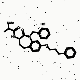 CNC(C)C(=O)NC1CCc2ccc(OCCCc3ccccc3)cc2N(Cc2ccccc2)C1=O.Cl